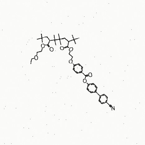 CCOCCOC(=O)C(CC(C)(C)C)C(C)(C)C(C)(C)CC(C(=O)OCCOc1ccc(C(=O)Oc2ccc(-c3ccc(C#N)cc3)cc2)cc1)C(C)(C)C